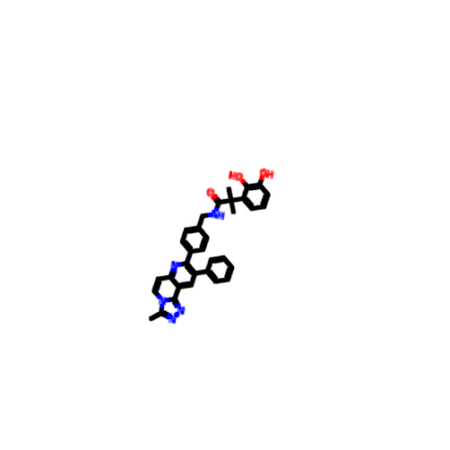 Cc1nnc2c3cc(-c4ccccc4)c(-c4ccc(CNC(=O)C(C)(C)c5cccc(O)c5O)cc4)nc3ccn12